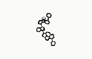 c1ccc(-c2ccc3ccc4c(-c5ccc(-c6cccc7oc8c(-c9ccccc9)cccc8c67)c6ccccc56)ccc5ccc2c3c54)cc1